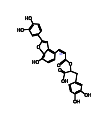 O=C(/C=C\c1ccc(O)c2oc(-c3ccc(O)c(O)c3)cc12)OC(Cc1ccc(O)c(O)c1)C(=O)O